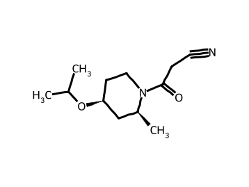 CC(C)O[C@H]1CCN(C(=O)CC#N)[C@@H](C)C1